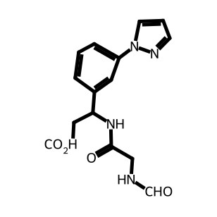 O=CNCC(=O)NC(CC(=O)O)c1cccc(-n2cccn2)c1